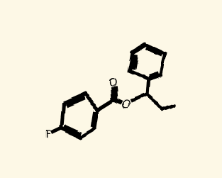 CCC(OC(=O)c1ccc(F)cc1)c1ccccc1